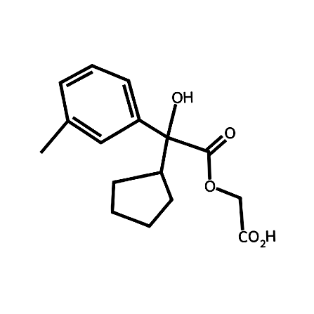 Cc1cccc(C(O)(C(=O)OCC(=O)O)C2CCCC2)c1